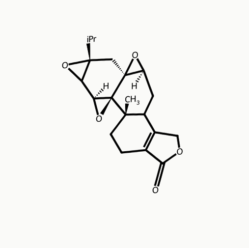 CC(C)[C@@]12C[C@]34O[C@H]3CC3C5=C(CC[C@]3(C)[C@@]43O[C@H]3C1O2)C(=O)OC5